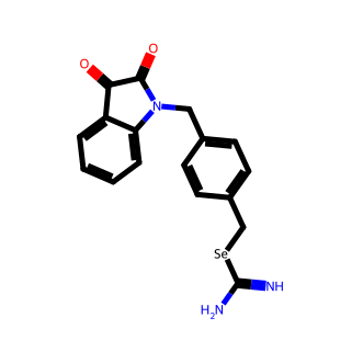 N=C(N)[Se]Cc1ccc(CN2C(=O)C(=O)c3ccccc32)cc1